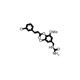 COc1cc(CNC(N)=O)cc(Cl)c1OC(=O)/C=C/c1cccc(Cl)c1